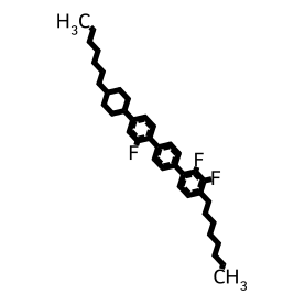 CCCCCCCCc1ccc(-c2ccc(-c3ccc(C4CCC(CCCCCCC)CC4)cc3F)cc2)c(F)c1F